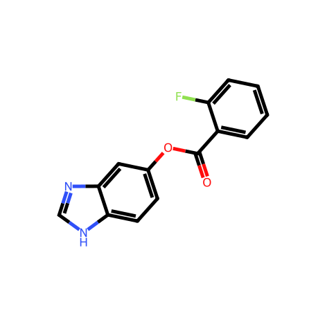 O=C(Oc1ccc2[nH]cnc2c1)c1ccccc1F